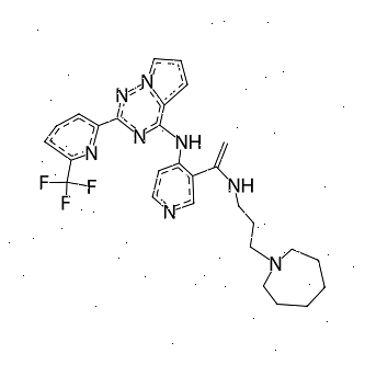 C=C(NCCCN1CCCCCC1)c1cnccc1Nc1nc(-c2cccc(C(F)(F)F)n2)nn2cccc12